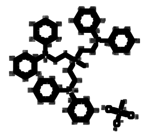 CS(=O)(=O)[O-].C[P+](CCP(c1ccccc1)c1ccccc1)(CCP(c1ccccc1)c1ccccc1)CCP(c1ccccc1)c1ccccc1